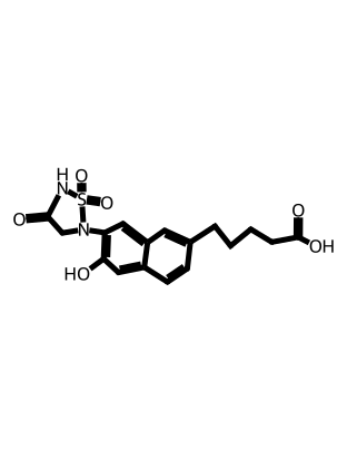 O=C(O)CCCCc1ccc2cc(O)c(N3CC(=O)NS3(=O)=O)cc2c1